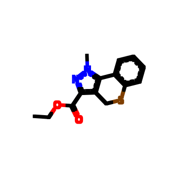 CCOC(=O)c1nn(C)c2c1CSc1ccccc1-2